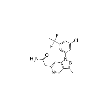 Cc1nn(-c2cc(Cl)cc(C(C)(F)F)n2)c2cc(CC(N)=O)ncc12